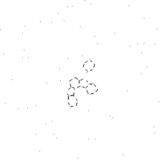 Cc1ccc(-n2c3cccc(C)c3c3c4c(ccc32)[nH]c2ccccc24)cc1